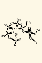 O=P(O)(O)OP(=O)(O)OP(=O)(O)OP(=O)(O)OP(=O)(OP)OP(=O)(OP)OP